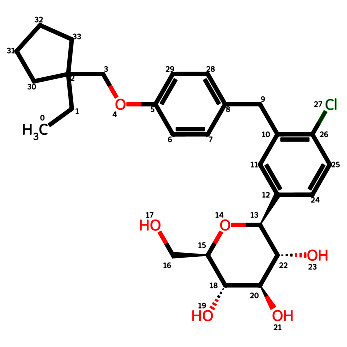 CCC1(COc2ccc(Cc3cc([C@@H]4O[C@H](CO)[C@@H](O)[C@H](O)[C@H]4O)ccc3Cl)cc2)CCCC1